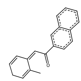 CC1=CCC=CC1=CC(=O)c1ccc2ccccc2c1